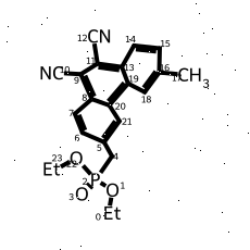 CCOP(=O)(Cc1ccc2c(C#N)c(C#N)c3ccc(C)cc3c2c1)OCC